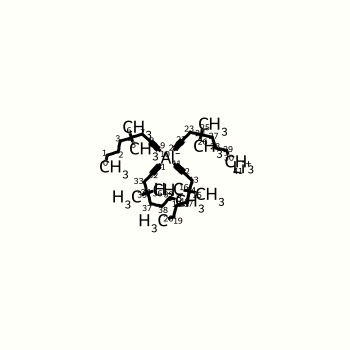 CCCCC(C)(C)CC#[C][Al-]([C]#CCC(C)(C)CCCC)([C]#CCC(C)(C)CCCC)[C]#CCC(C)(C)CCCC.[Li+]